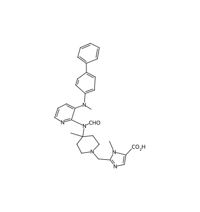 CN(c1ccc(-c2ccccc2)cc1)c1cccnc1N(C=O)C1(C)CCN(Cc2ncc(C(=O)O)n2C)CC1